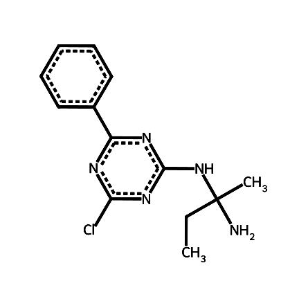 CCC(C)(N)Nc1nc(Cl)nc(-c2ccccc2)n1